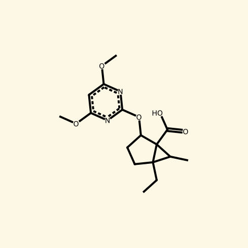 CCC12CCC(Oc3nc(OC)cc(OC)n3)C1(C(=O)O)C2C